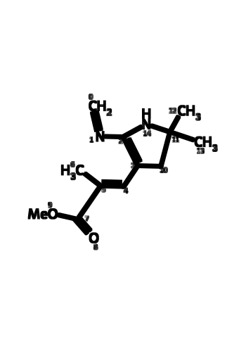 C=NC1=C(/C=C(\C)C(=O)OC)CC(C)(C)N1